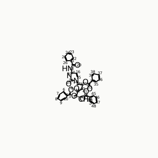 C[C@@H](OC(=O)c1ccccc1)[C@H]1O[C@@H](n2ccc(NC(=O)c3ccccc3)nc2=O)[C@H](OC(=O)c2ccccc2)[C@@H]1OC(=O)c1ccccc1